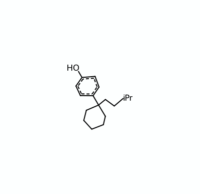 CC(C)CCC1(c2ccc(O)cc2)CCCCC1